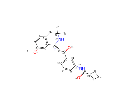 COc1ccc2c(c1)/C(=C/C(=O)c1cccc(NC(=O)C3CCC3)c1)NC(C)(C)C2